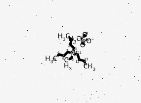 CCCC[N+](CC)(CCCC)CCCC.CS(=O)(=O)[O-]